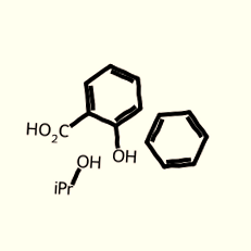 CC(C)O.O=C(O)c1ccccc1O.c1ccccc1